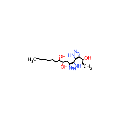 C=C[C@@H](O)c1nn[nH]c1-c1[nH]nnc1C[C@@H](O)[C@H](O)CCCCCCC